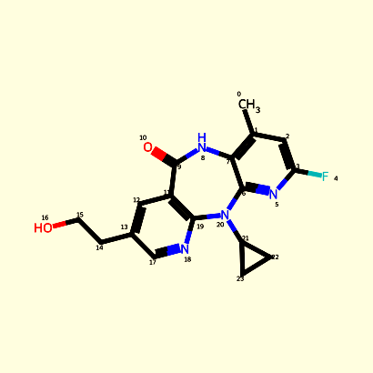 Cc1cc(F)nc2c1NC(=O)c1cc(CCO)cnc1N2C1CC1